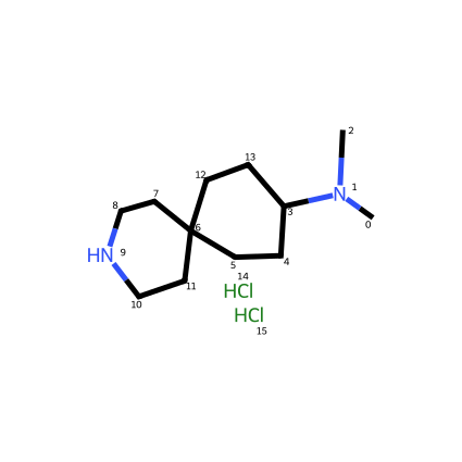 CN(C)C1CCC2(CCNCC2)CC1.Cl.Cl